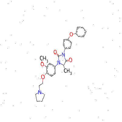 COc1cc(N2C(=O)N(c3ccc(Oc4ccccc4)cc3)C(=O)C2C)ccc1OCCN1CCCC1